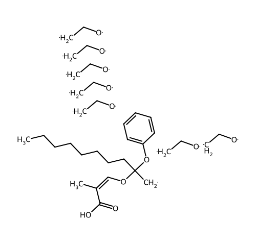 [CH2]C(CCCCCCCC)(OC=C(C)C(=O)O)Oc1ccccc1.[CH2]C[O].[CH2]C[O].[CH2]C[O].[CH2]C[O].[CH2]C[O].[CH2]C[O].[CH2]C[O]